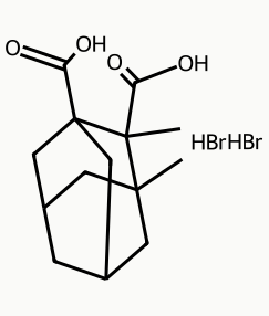 Br.Br.CC12CC3CC(C1)CC(C(=O)O)(C3)C2(C)C(=O)O